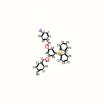 Ic1ccc(COc2cc(OCc3ccc(I)cc3)cc([SH]3c4ccccc4-c4ccccc43)c2)cc1